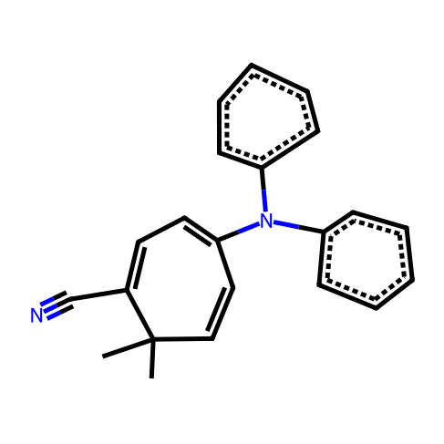 CC1(C)C=CC(N(c2ccccc2)c2ccccc2)=CC=C1C#N